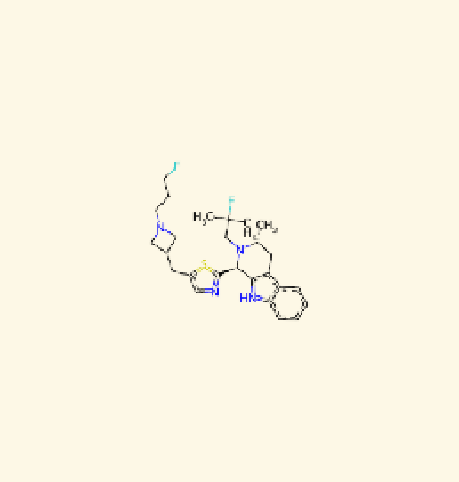 C[C@@H]1Cc2c([nH]c3ccccc23)[C@@H](c2ncc(CC3CN(CCCF)C3)s2)N1CC(C)(C)F